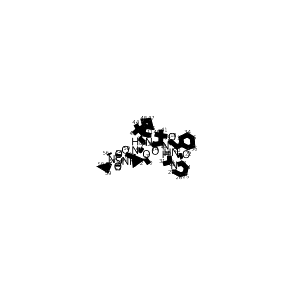 CC[C@@H]1C[C@]1(NC(=O)[C@@H]1C[C@@]2(CN1C(=O)[C@@H](NC(=O)[C@@H](NC(=O)[C@@H]1CCCCN1C(C)C)C1CCCCC1)C(C)(C)C)C(C)(C)C21CCC1)C(=O)NS(=O)(=O)N(C)C1CC1